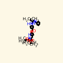 C=CCc1c(C)nc(-c2ccccc2)nc1Nc1ccc(C(=O)Oc2ccc(CC(NC(=O)OC(C)(C)C)C(=O)OC(C)(C)C)cc2)cc1